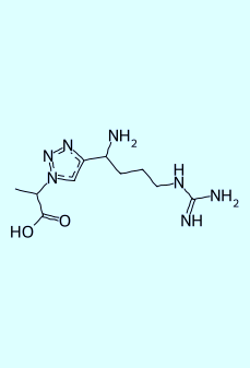 CC(C(=O)O)n1cc(C(N)CCCNC(=N)N)nn1